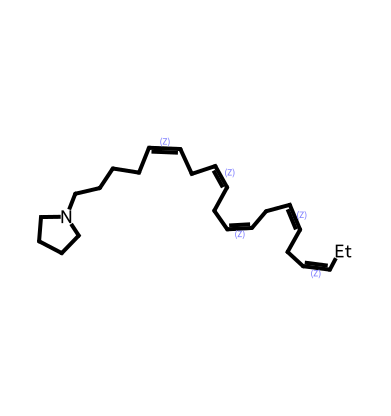 CC/C=C\C/C=C\C/C=C\C/C=C\C/C=C\CCCCN1CCCC1